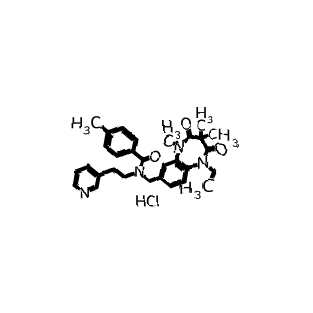 CCN1C(=O)C(C)(C)C(=O)N(C)c2cc(CN(CCc3cccnc3)C(=O)c3ccc(C)cc3)ccc21.Cl